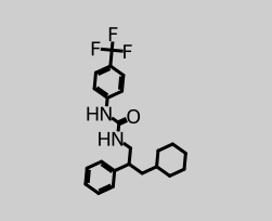 O=C(NCC(CC1CCCCC1)c1ccccc1)Nc1ccc(C(F)(F)F)cc1